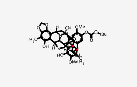 C=CCN1C2c3c(cc(C)c(OC)c3O)CC1[C@H](C#N)N1C2[C@@H]2SC[C@]3(NCCc4cc(OC(=O)OC(C)(C)C)c(OC)cc43)C(=O)OC[C@H]1c1c3c(c(C)c(O)c12)OCO3